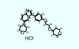 Cl.c1cc(-c2cnc3ccc(N4CCOCC4)cn23)ccc1OCCOC1CCOCC1